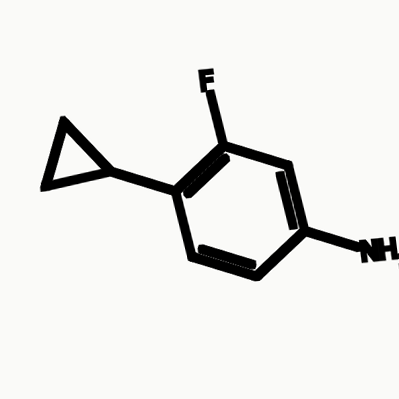 Nc1ccc(C2CC2)c(F)c1